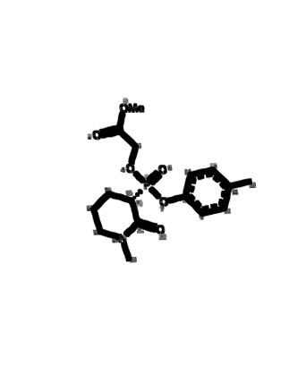 COC(=O)COP(=O)(Oc1ccc(C)cc1)[C@H]1CCCN(C)C1=O